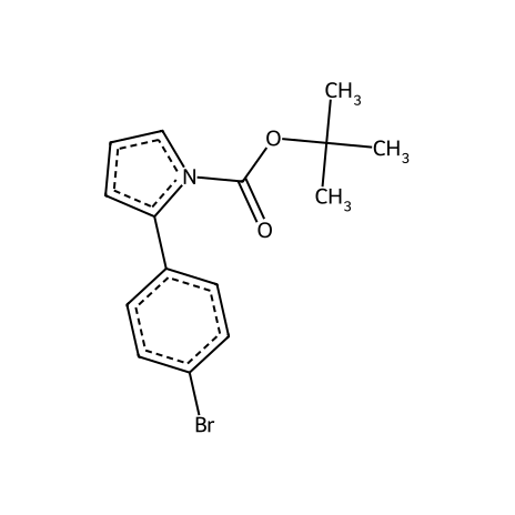 CC(C)(C)OC(=O)n1cccc1-c1ccc(Br)cc1